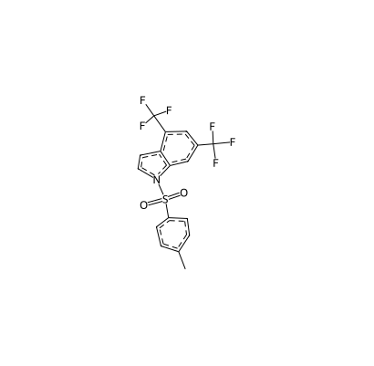 Cc1ccc(S(=O)(=O)n2ccc3c(C(F)(F)F)cc(C(F)(F)F)cc32)cc1